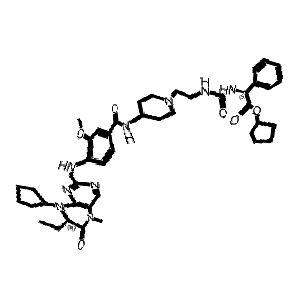 CC[C@@H]1C(=O)N(C)c2cnc(Nc3ccc(C(=O)NC4CCN(CCNC(=O)N[C@H](C(=O)OC5CCCC5)c5ccccc5)CC4)cc3OC)nc2N1C1CCCC1